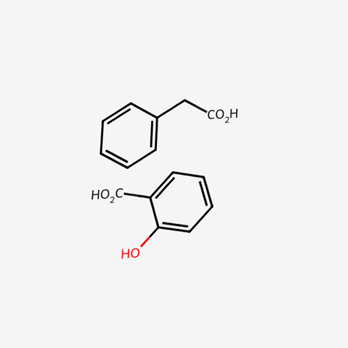 O=C(O)Cc1ccccc1.O=C(O)c1ccccc1O